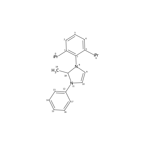 CC(C)c1cccc(C(C)C)c1N1C=CN(c2ccccc2)C1C